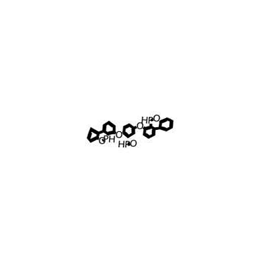 O=P.c1ccc2c(c1)OPc1c(Oc3ccc(Oc4cccc5c4POc4ccccc4-5)cc3)cccc1-2